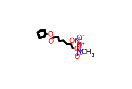 C[NH+]([O-])OCC(CCCCC(=O)Oc1ccccc1)O[N+](=O)[O-]